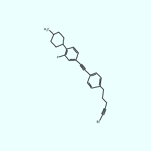 CCC#CCCCc1ccc(C#Cc2ccc(C3CCC(C)CC3)c(F)c2)cc1